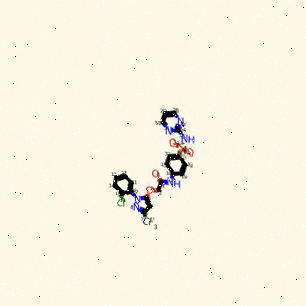 O=C(COc1cc(C(F)(F)F)nn1-c1ccccc1Cl)NC1C=CC(S(=O)(=O)Nc2ncccn2)=CC1